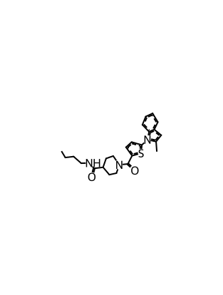 CCCCNC(=O)C1CCN(C(=O)c2ccc(-n3c(C)cc4ccccc43)s2)CC1